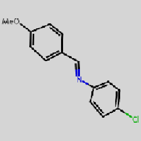 COc1ccc(C=Nc2ccc(Cl)cc2)cc1